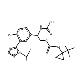 O=C(O)NC(COC(=O)NC1(C(F)(F)F)CC1)c1ccc(Cl)c(-c2ncnn2C(F)F)c1